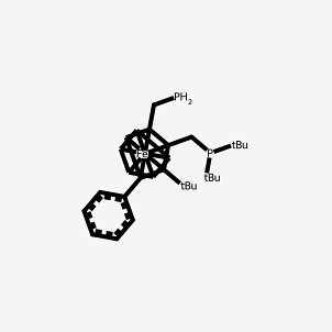 CC(C)(C)P(C[C]12[C]3(CP)[CH]4[C]5(c6ccccc6)[C]1(C(C)(C)C)[Fe]43521678[CH]2[CH]1[CH]6[CH]7[CH]28)C(C)(C)C